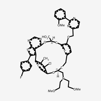 COCCN(CCOC)C[C@@H]1CCc2ccc(OCc3ccnc(-c4ccccc4OC)n3)c(c2)C[C@H](C(=O)O)Oc2ncnc3sc(-c4ccc(F)cc4)c(c23)-c2ccc(c(Cl)c2C)O1